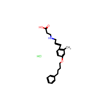 Cc1cc(OCCCCc2ccccc2)ccc1C=CCNCCC(=O)O.Cl